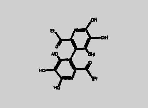 CCC(=O)c1cc(O)c(O)c(O)c1-c1c(C(=O)C(C)C)cc(O)c(O)c1O